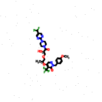 COc1ccc(Cn2ncc(O[C@@H](C)COC[C@@H](O)C(=O)N3CCN(c4ncc(C(F)F)cn4)CC3)c(C(F)(F)F)c2=O)cc1